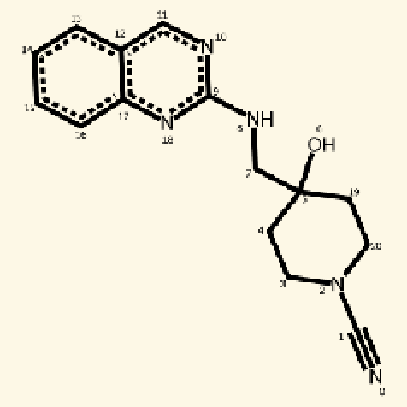 N#CN1CCC(O)(CNc2ncc3ccccc3n2)CC1